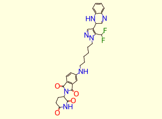 O=C1CCC(N2C(=O)c3ccc(NCCCCCCn4ncc(C5C=Nc6ccccc6N5)c4C(F)F)cc3C2=O)C(=O)N1